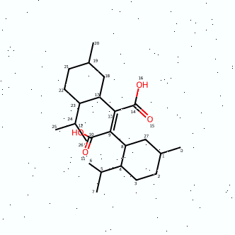 CC1CCC(C(C)C)C(C(C(=O)O)=C(C(=O)O)C2CC(C)CCC2C(C)C)C1